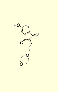 O=C1c2ccc(O)cc2C(=O)N1CCCN1CCOCC1